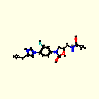 CCc1cn(-c2ccc(N3C[C@H](CNC(C)=O)OC3=O)cc2F)cn1